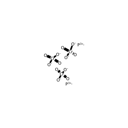 [O]=[Cr](=[O])([O-])[O-].[O]=[Cr](=[O])([O-])[O-].[O]=[Cr](=[O])([O-])[O-].[P+3].[P+3]